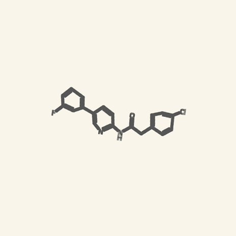 O=C(Cc1ccc(Cl)cc1)Nc1ccc(-c2cccc(F)c2)cn1